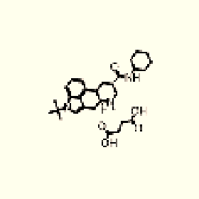 CN1C[C@H](C(=O)NC2CCCCC2)CC2c3cccc4c3c(cn4C(C)(C)C)C[C@H]21.O=C(O)CCC(=O)O